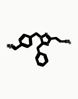 C=Cc1ccc(Cn2nc(CCC)nc2Cc2ccccc2)cc1